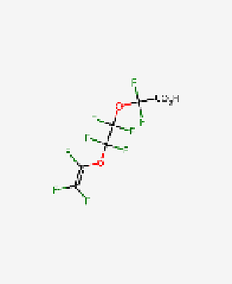 O=C(O)C(F)(F)OC(F)(F)C(F)(F)OC(F)=C(F)F